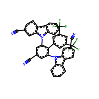 N#Cc1cc(-n2c3ccccc3c3ccc(C#N)cc32)c(-c2cc(C(F)(F)F)cc(C(F)(F)F)c2)c(-n2c3ccccc3c3ccc(C#N)cc32)c1